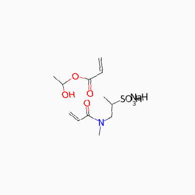 C=CC(=O)N(C)CC(C)S(=O)(=O)O.C=CC(=O)OC(C)O.[NaH]